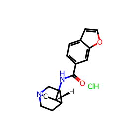 Cl.O=C(N[C@H]1CN2CCC1CC2)c1ccc2ccoc2c1